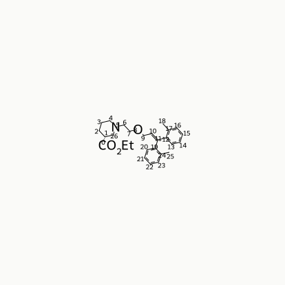 CCOC(=O)[C@@H]1CCCN(CCOCC=C(c2ccccc2C)c2ccccc2C)C1